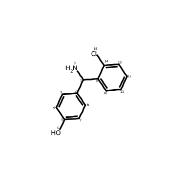 NC(c1ccc(O)cc1)c1ccccc1Cl